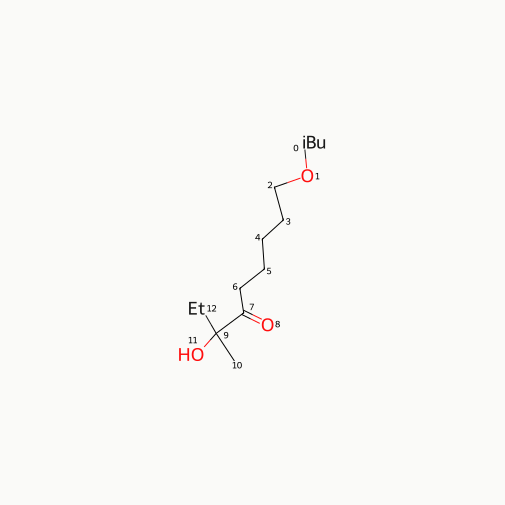 CCC(C)OCCCCCC(=O)C(C)(O)CC